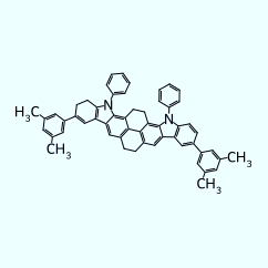 Cc1cc(C)cc(C2=Cc3c(n(-c4ccccc4)c4c5c6c(cc34)CCc3cc4c7cc(-c8cc(C)cc(C)c8)ccc7n(-c7ccccc7)c4c(c3-6)CC5)CC2)c1